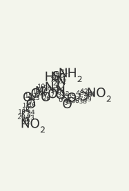 CC(C)(O/N=C(\C(=O)N[C@H]1CN(OCC(=O)OCc2ccc([N+](=O)[O-])cc2)C1=O)c1csc(N)n1)C(=O)OCc1ccc([N+](=O)[O-])cc1